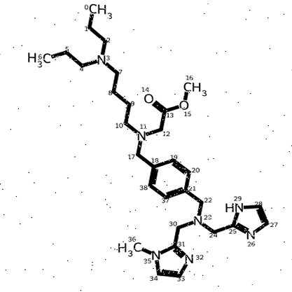 CCCN(CCC)CCCCN(CC(=O)OC)Cc1ccc(CN(Cc2ncc[nH]2)Cc2nccn2C)cc1